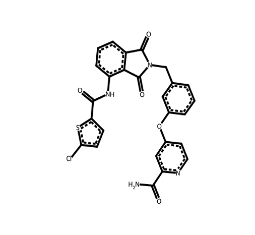 NC(=O)c1cc(Oc2cccc(CN3C(=O)c4cccc(NC(=O)c5ccc(Cl)s5)c4C3=O)c2)ccn1